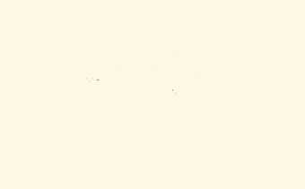 COc1cccc2c1C=CN(CCCCl)S2(=O)=O